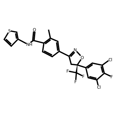 Cc1cc(C2=NO[C@@](c3cc(Cl)c(F)c(Cl)c3)(C(F)(F)F)C2)ccc1C(=O)Nc1ccsc1